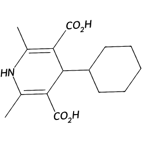 CC1=C(C(=O)O)C(C2CCCCC2)C(C(=O)O)=C(C)N1